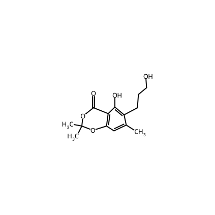 Cc1cc2c(c(O)c1CCCO)C(=O)OC(C)(C)O2